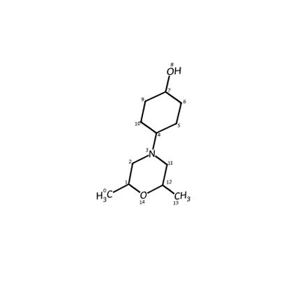 CC1CN(C2CCC(O)CC2)CC(C)O1